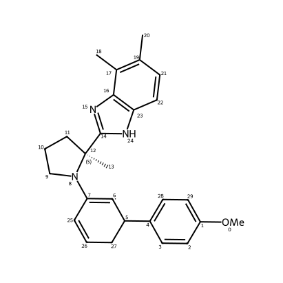 COc1ccc(C2[C]=C(N3CCC[C@@]3(C)c3nc4c(C)c(C)ccc4[nH]3)C=CC2)cc1